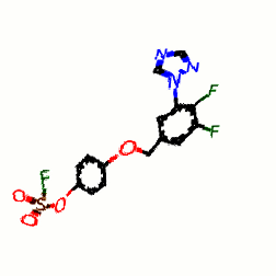 O=S(=O)(F)Oc1ccc(OCc2cc(F)c(F)c(-n3cncn3)c2)cc1